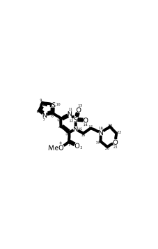 COC(=O)C1=CC(c2nccs2)=NS(=O)(=O)N1CCN1CCOCC1